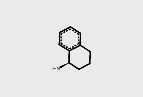 [NH][C@@H]1CCCc2ccccc21